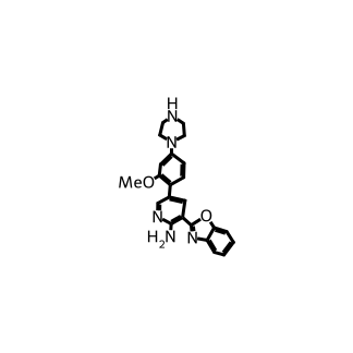 COc1cc(N2CCNCC2)ccc1-c1cnc(N)c(-c2nc3ccccc3o2)c1